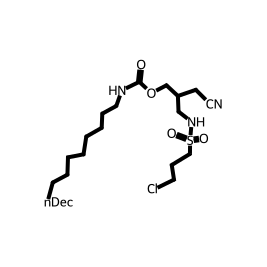 CCCCCCCCCCCCCCCCCCNC(=O)OCC(CC#N)CNS(=O)(=O)CCCCl